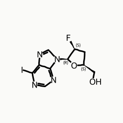 OC[C@@H]1C[C@H](F)[C@H](n2cnc3c(I)ncnc32)O1